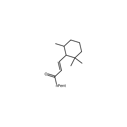 CCCCCC(=O)/C=C/C1C(C)CCCC1(C)C